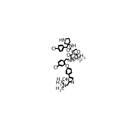 C[C@H](NCc1ccc(Cl)cc1Oc1ccc(-c2cnc(CN(C)C)n2C)cc1)C(=O)N1[C@H](C(=O)NC2(Cc3ccc(Cl)cc3)CCCNC2)COC1(C)C